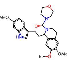 CCOc1cc2c(cc1OC)CCN(C(=O)N1CCOCC1)C2CCc1c[nH]c2cc(OC)ccc12